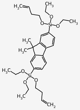 C=CCCO[Si](OCC)(OCC)c1ccc2c(c1)C(C)(C)c1cc([Si](OCC)(OCC)OCCC=C)ccc1-2